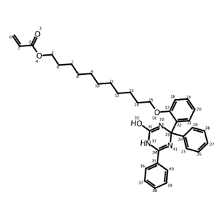 C=CC(=O)OCCCCCCCCCCCOc1ccccc1C1(c2ccccc2)N=C(O)NC(c2ccccc2)=N1